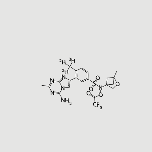 [2H]C([2H])([2H])c1ccc(S(=O)(=O)N(OC(=O)C(F)(F)F)C23COC(C)(C2)C3)cc1-c1cn2c(N)nc(C)nc2n1